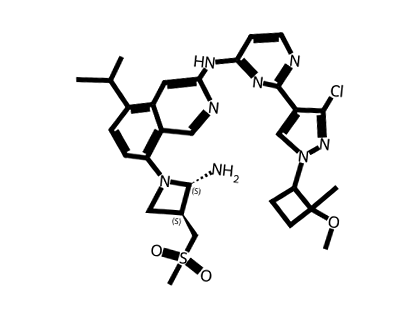 COC1(C)CCC1n1cc(-c2nccc(Nc3cc4c(C(C)C)ccc(N5C[C@H](CS(C)(=O)=O)[C@H]5N)c4cn3)n2)c(Cl)n1